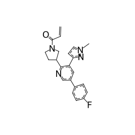 C=CC(=O)N1CCC(c2ncc(-c3ccc(F)cc3)cc2-c2ccn(C)n2)C1